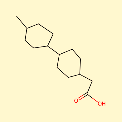 CC1CCC(C2CCC(CC(=O)O)CC2)CC1